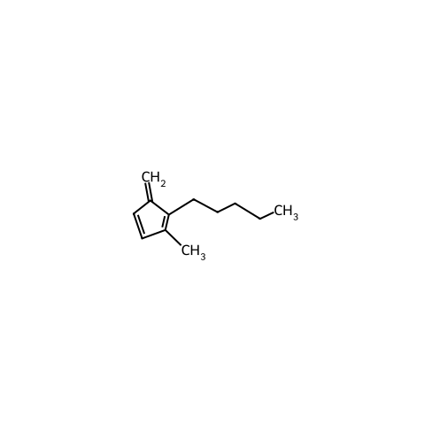 C=C1C=CC(C)=C1CCCCC